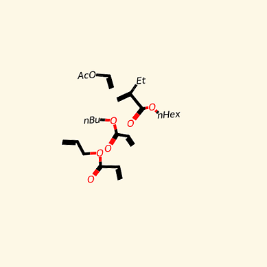 C=C(CC)C(=O)OCCCCCC.C=CC(=O)OCCCC.C=CCOC(=O)C=C.C=COC(C)=O